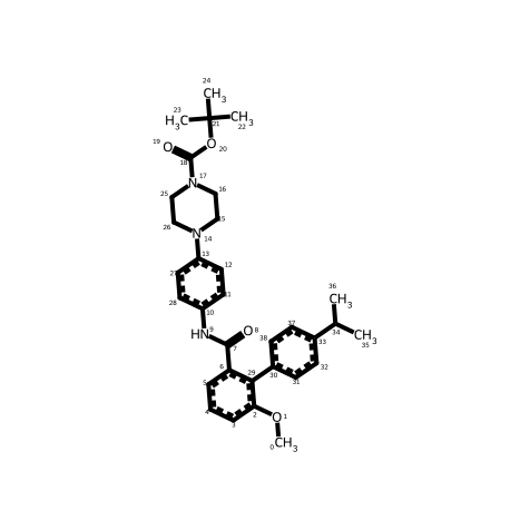 COc1cccc(C(=O)Nc2ccc(N3CCN(C(=O)OC(C)(C)C)CC3)cc2)c1-c1ccc(C(C)C)cc1